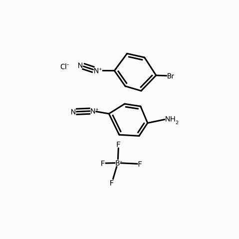 F[B-](F)(F)F.N#[N+]c1ccc(Br)cc1.N#[N+]c1ccc(N)cc1.[Cl-]